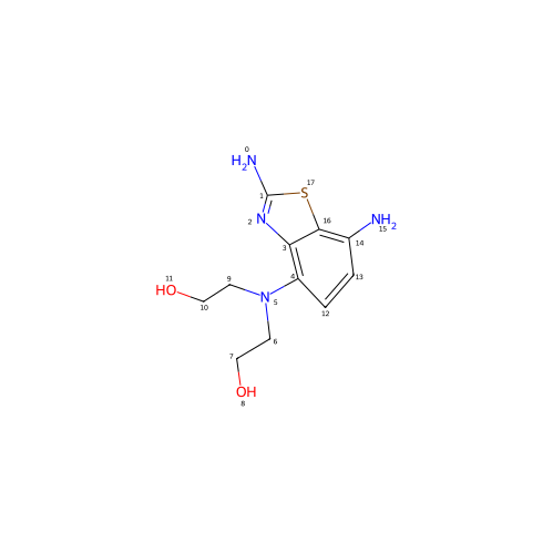 Nc1nc2c(N(CCO)CCO)ccc(N)c2s1